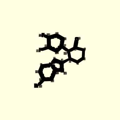 O=C1CCC[C@@H](c2cn3ccc(Br)cc3n2)N1c1ccc(F)c(F)c1